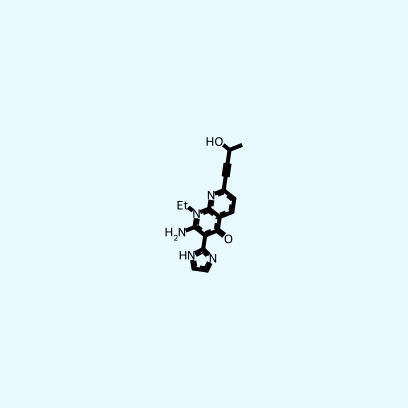 CCn1c(N)c(-c2ncc[nH]2)c(=O)c2ccc(C#CC(C)O)nc21